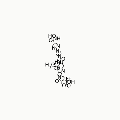 CC[C@@]1(O)C(=O)OCc2c1cc1n(c2=O)Cc2cc3c([Si](C)(C)C(C)(C)C)c(OC(=O)N4CCN(c5ncc(C(=O)NO)cn5)CC4)ccc3nc2-1